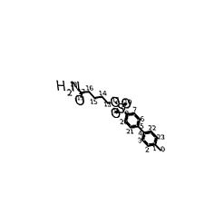 Cc1ccc(-c2ccc(S(=O)(=O)OCCCCC(N)=O)cc2)cc1